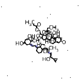 C=C1/C(=C\C=C2/CCC[C@]3(C)[C@@H]([C@H](C)/C=C/[C@@H](O)C4CC4)CC[C@@H]23)C[C@@H](O)C[C@@H]1O.CCC(=O)OCC(=O)[C@@]1(OC(=O)CC)[C@@H](C)C[C@H]2[C@@H]3CCC4=CC(=O)C=C[C@]4(C)[C@@]3(F)[C@@H](O)C[C@@]21C